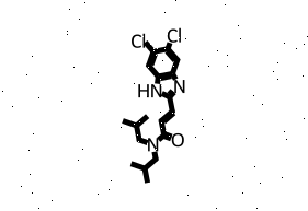 CC(C)CN(CC(C)C)C(=O)C=Cc1nc2cc(Cl)c(Cl)cc2[nH]1